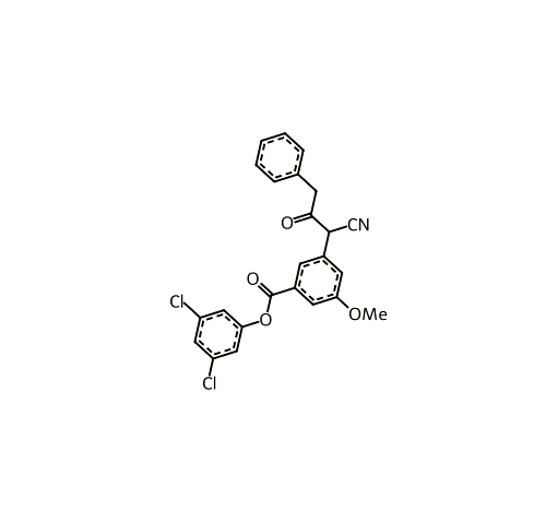 COc1cc(C(=O)Oc2cc(Cl)cc(Cl)c2)cc(C(C#N)C(=O)Cc2ccccc2)c1